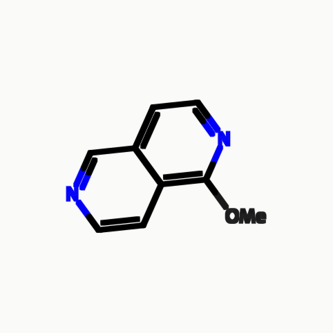 COc1nccc2cnccc12